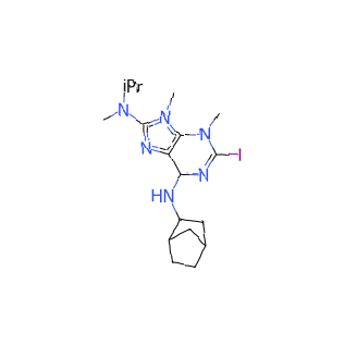 CC(C)N(C)c1nc2c(n1C)N(C)C(I)=NC2NC1CC2CCC1C2